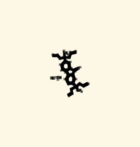 C=CCC(N)(CC=C)c1ccc2c(c1)C(=O)c1cc(C(N)(CC=C)CC=C)ccc1-2.Cl.Cl